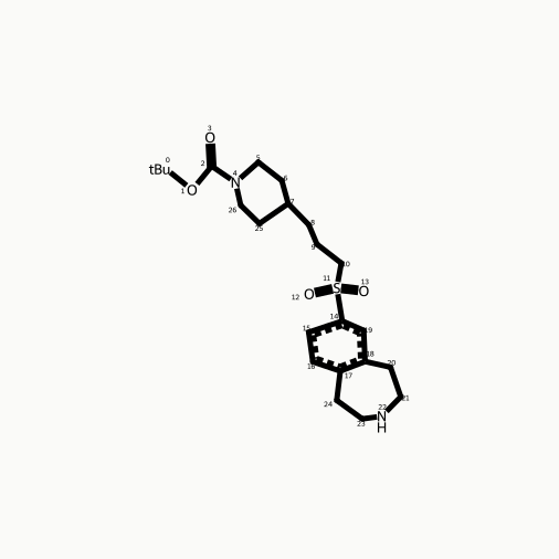 CC(C)(C)OC(=O)N1CCC(CCCS(=O)(=O)c2ccc3c(c2)CCNCC3)CC1